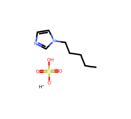 CCCCCn1ccnc1.O=S(=O)([O-])O.[H+]